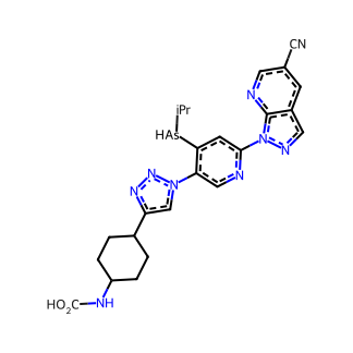 CC(C)[AsH]c1cc(-n2ncc3cc(C#N)cnc32)ncc1-n1cc(C2CCC(NC(=O)O)CC2)nn1